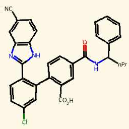 CCCC(NC(=O)c1ccc(-c2cc(Cl)ccc2-c2nc3cc(C#N)ccc3[nH]2)c(C(=O)O)c1)c1ccccc1